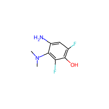 CN(C)c1c(N)cc(F)c(O)c1F